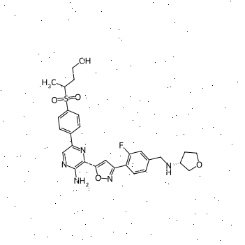 CC(CCO)S(=O)(=O)c1ccc(-c2cnc(N)c(-c3cc(-c4ccc(CN[C@@H]5CCOC5)cc4F)no3)n2)cc1